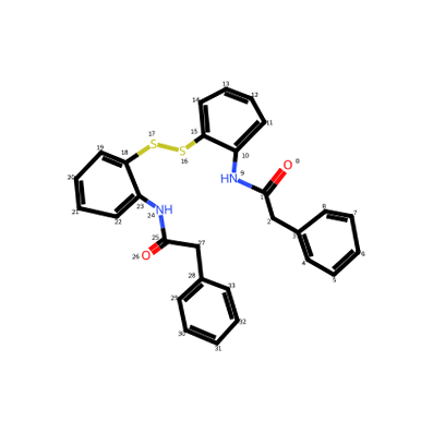 O=C(Cc1ccccc1)Nc1ccccc1SSc1ccccc1NC(=O)Cc1ccccc1